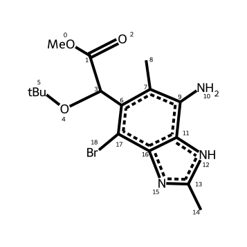 COC(=O)C(OC(C)(C)C)c1c(C)c(N)c2[nH]c(C)nc2c1Br